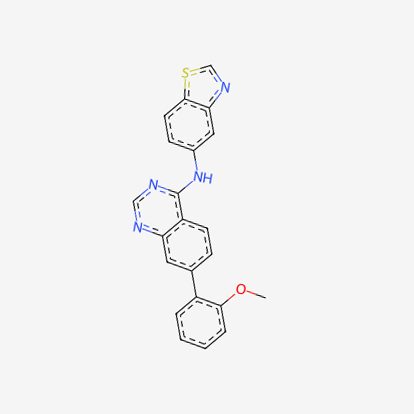 COc1ccccc1-c1ccc2c(Nc3ccc4scnc4c3)ncnc2c1